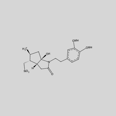 COc1ccc(CCN2C(=O)C[C@@H]3[C@H](C[N+](=O)[O-])[C@@H](C)C[C@@]32O)cc1OC